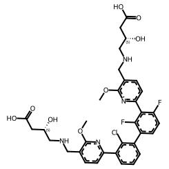 COc1nc(-c2cccc(-c3ccc(F)c(-c4ccc(CNC[C@@H](O)CC(=O)O)c(OC)n4)c3F)c2Cl)ccc1CNC[C@@H](O)CC(=O)O